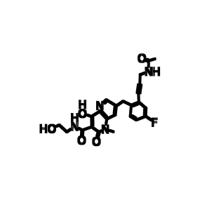 CC(=O)NCC#Cc1cc(F)ccc1Cc1cnc2c(O)c(C(=O)NCCO)c(=O)n(C)c2c1